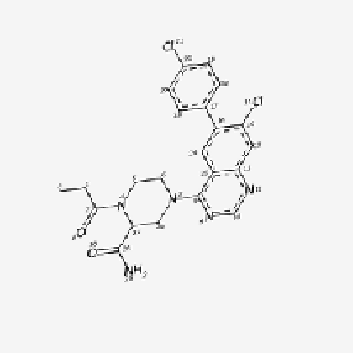 CCC(=O)N1CCN(c2ncnc3cc(Cl)c(-c4ccc(Cl)cc4)cc23)CC1C(N)=O